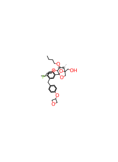 CCCCOC1[C@@H](OCCCC)[C@H](C)C2(CO)COC1(c1ccc(F)c(Cc3ccc(OC4COC4)cc3)c1)O2